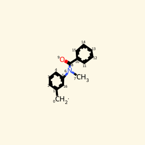 [CH2]c1cccc(N(C)C(=O)c2ccccc2)c1